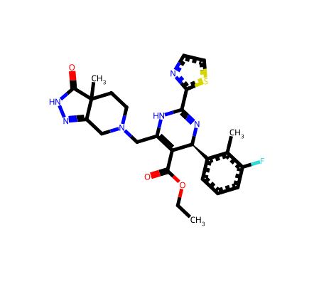 CCOC(=O)C1=C(CN2CCC3(C)C(=O)NN=C3C2)NC(c2nccs2)=N[C@H]1c1cccc(F)c1C